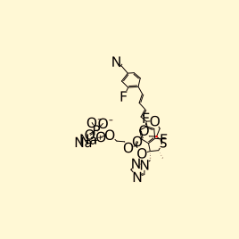 C[C@@H](SC1COC(C=CC=Cc2ccc(C#N)cc2F)OC1)[C@@](Cn1cncn1)(OC(=O)OCCOOP(=O)([O-])[O-])c1ccc(F)cc1F.[Na+].[Na+]